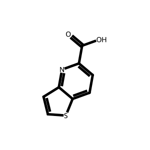 O=C(O)c1ccc2sccc2n1